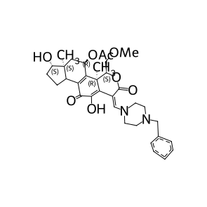 COC[C@H]1OC(=O)C(=CN2CCN(Cc3ccccc3)CC2)C2=C(O)C(=O)C3=C([C@H](OC(C)=O)C[C@@]4(C)C3CC[C@@H]4O)[C@]21C